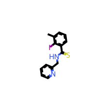 Cc1cccc(C(=S)NCc2ccccn2)c1I